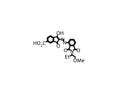 CCC(COC)N1C(=O)c2cccc(N=NC3=C(O)c4ccc(C(=O)O)cc4C3=O)c2C1=O